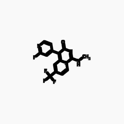 CNc1nc(=O)c(-c2ccnc(F)c2)c2cc(C(F)(F)F)ccn12